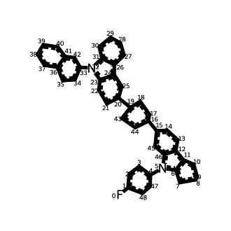 Fc1ccc(-n2c3ccccc3c3ccc(-c4ccc(-c5ccc6c(c5)c5ccccc5n6-c5ccc6ccccc6c5)cc4)cc32)cc1